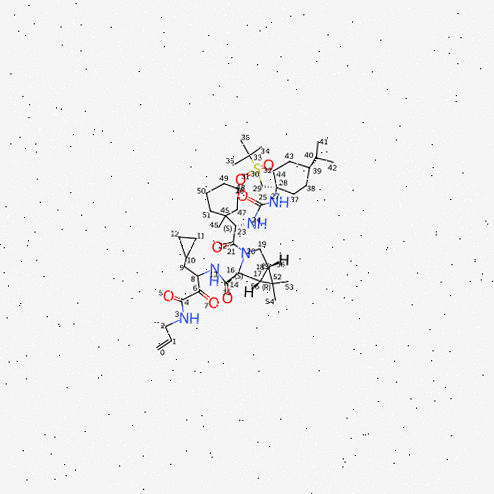 C=CCNC(=O)C(=O)C(CC1CC1)NC(=O)[C@@H]1[C@@H]2[C@H](CN1C(=O)[C@@H](NC(=O)N[C@]1(CS(=O)(=O)C(C)(C)C)CC[C@H](C(C)C)CC1)C1(C)CCCCC1)C2(C)C